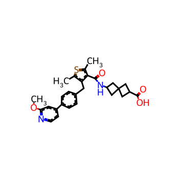 COc1cc(-c2ccc(Cc3c(C)sc(C)c3C(=O)NC3CC4(C3)CC(C(=O)O)C4)cc2)ccn1